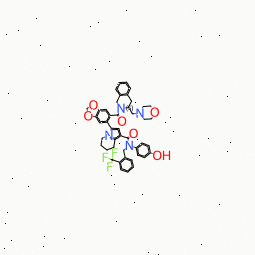 O=C(c1cc(-c2cc3c(cc2C(=O)N2Cc4ccccc4C[C@H]2CN2CCOCC2)OCO3)n2c1CCCC2)N(Cc1ccccc1C(F)(F)F)c1ccc(O)cc1